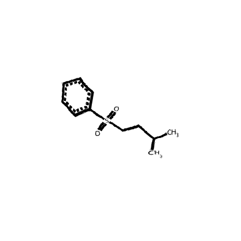 CC(C)CCS(=O)(=O)c1cc[c]cc1